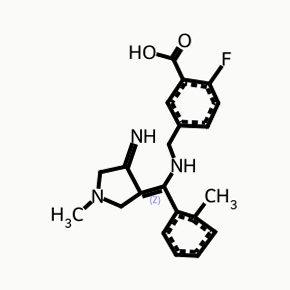 Cc1ccccc1/C(NCc1ccc(F)c(C(=O)O)c1)=C1\CN(C)CC1=N